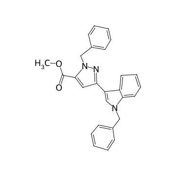 COC(=O)c1cc(-c2cn(Cc3ccccc3)c3ccccc23)nn1Cc1ccccc1